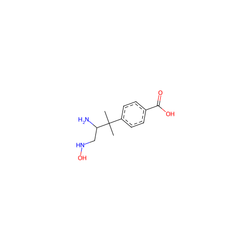 CC(C)(c1ccc(C(=O)O)cc1)C(N)CNO